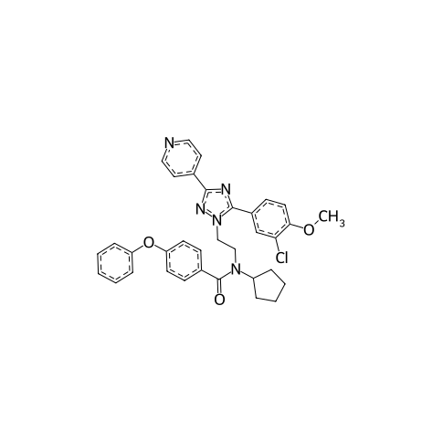 COc1ccc(-c2nc(-c3ccncc3)nn2CCN(C(=O)c2ccc(Oc3ccccc3)cc2)C2CCCC2)cc1Cl